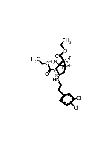 CCOC(=O)[C@@H]1[C@H](NCCc2ccc(Cl)c(Cl)c2)C[C@@H]2[C@@]1(N)[C@@]2(F)C(=O)OCC